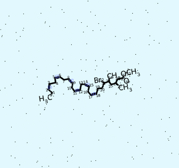 CC/C=C\C/C=C\C/C=C\C/C=C\C/C=C\C/C=C\CCC(Br)C(C)CC(C)CC(=O)OC